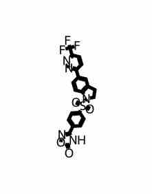 O=c1[nH]c(-c2ccc(S(=O)(=O)N3CCc4cc(-c5ccc(C(F)(F)F)nn5)ccc43)cc2)no1